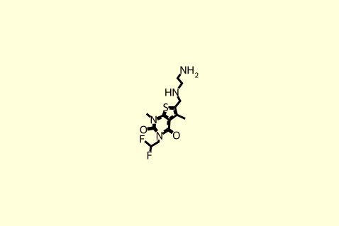 Cc1c(CNCCN)sc2c1c(=O)n(CC(F)F)c(=O)n2C